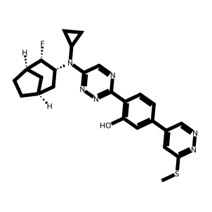 CSc1cc(-c2ccc(-c3ncc(N(C4CC4)[C@@H]4C[C@H]5CC[C@H](C5)[C@@H]4F)nn3)c(O)c2)cnn1